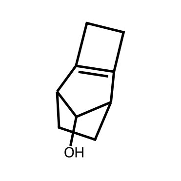 OC1C2CCC1C1=C2CC1